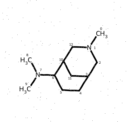 CN1CC2CCC(N(C)C)C(C2)C1